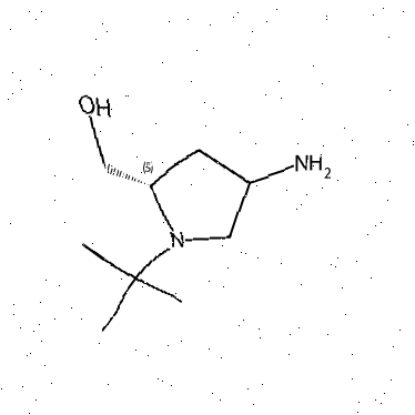 CC(C)(C)N1CC(N)C[C@H]1CO